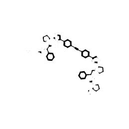 COC(=O)N[C@@H](C(=O)N1CCC[C@H]1c1ncc(-c2ccc(C#Cc3ccc(-c4cnc([C@@H]5CCCN5C(=O)[C@H](NC(=O)N5CCC[C@H]5CO)c5ccccc5)[nH]4)cc3)cc2)[nH]1)c1ccccc1